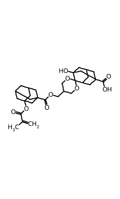 C=C(C)C(=O)OC12CC3CC(C1)CC(C(=O)OCC1COC4(OC1)C1CC5CC(C(=O)O)(C1)CC4(O)C5)(C3)C2